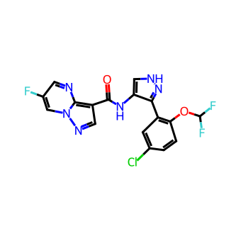 O=C(Nc1c[nH]nc1-c1cc(Cl)ccc1OC(F)F)c1cnn2cc(F)cnc12